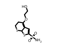 NS(=O)(=O)C1=CC2=C(OCCO)CCSC2S1